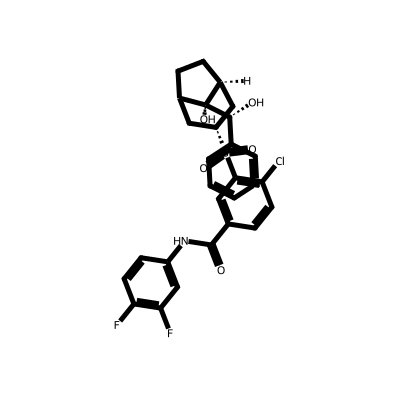 O=C(Nc1ccc(F)c(F)c1)c1ccc(Cl)c(S(=O)(=O)[C@@H]2CC3CC[C@@H](C2)[C@@]3(O)[C@H](O)c2cccnc2)c1